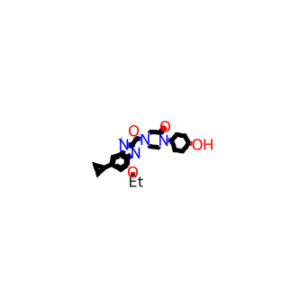 CCOc1cc(C2CC2)cc2c1nc(C(=O)N1CCN(C3CCC(O)CC3)C(=O)C1)n2C